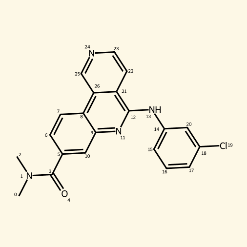 CN(C)C(=O)c1ccc2c(c1)nc(Nc1cccc(Cl)c1)c1ccncc12